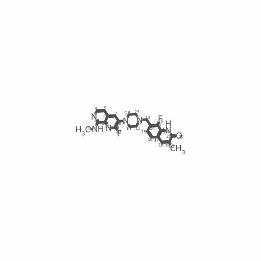 CNc1nccc2cc(N3CCN(Cc4ccc5cc(C)c(=O)[nH]c5c4F)CC3)c(F)nc12